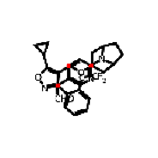 O=CCc1ccc(N2C3CCC2CC(OCc2c(-c4ccccc4OC(F)(F)F)noc2C2CC2)C3)nc1